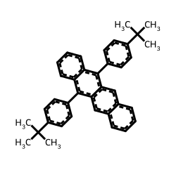 CC(C)(C)c1ccc(-c2c3ccccc3c(-c3ccc(C(C)(C)C)cc3)c3cc4ccccc4cc23)cc1